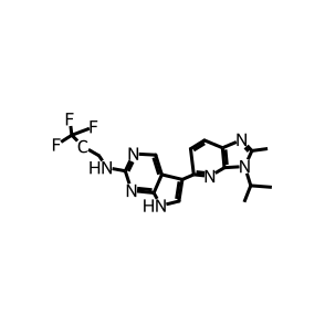 Cc1nc2ccc(-c3c[nH]c4nc(NCCC(F)(F)F)ncc34)nc2n1C(C)C